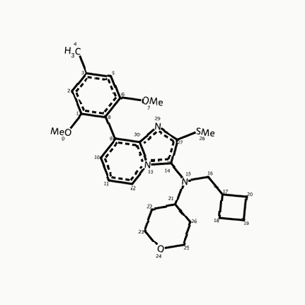 COc1cc(C)cc(OC)c1-c1cccn2c(N(CC3CCC3)C3CCOCC3)c(SC)nc12